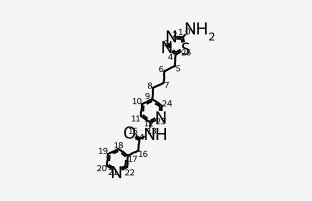 Nc1nnc(CCCCc2ccc(NC(=O)Cc3cccnc3)nc2)s1